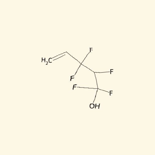 C=CC(F)(F)C(F)C(O)(F)F